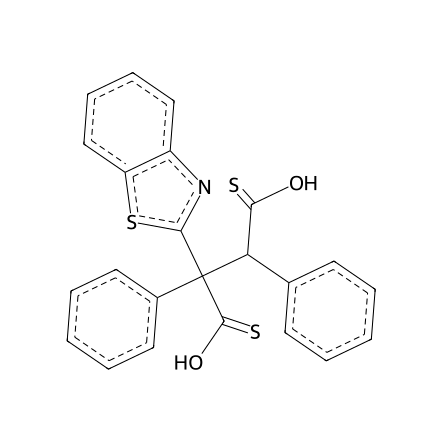 OC(=S)C(c1ccccc1)C(C(O)=S)(c1ccccc1)c1nc2ccccc2s1